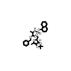 CC1=C2OC(C)(C)O[C@@H]2C(COP(=O)(NC(C)C(=O)OCc2ccccc2)Oc2cccc3ccccc23)O1